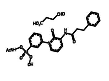 CC(=O)NO[As](=O)(OO)c1cccc(-n2cccc(NC(=O)CCc3ccccc3)c2=O)c1.O=CCCC(=O)O